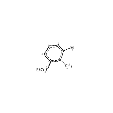 CCOC(=O)c1cccc(Br)c1C